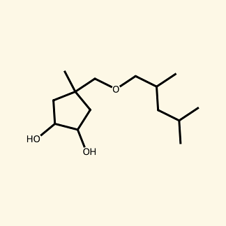 CC(C)CC(C)COCC1(C)CC(O)C(O)C1